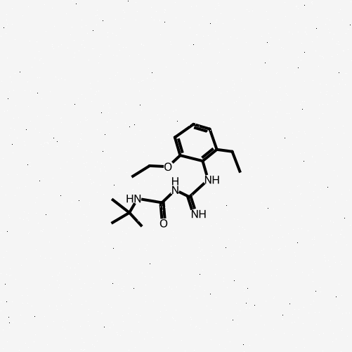 CCOc1cccc(CC)c1NC(=N)NC(=O)NC(C)(C)C